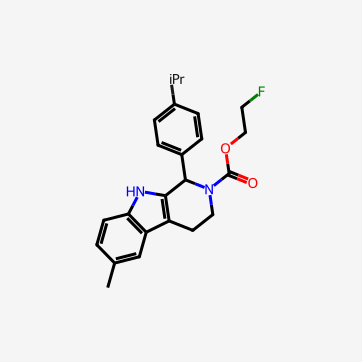 Cc1ccc2[nH]c3c(c2c1)CCN(C(=O)OCCF)C3c1ccc(C(C)C)cc1